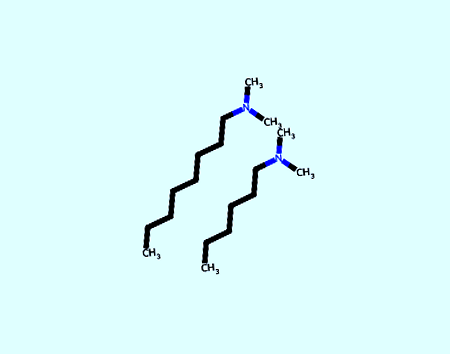 CCCCCCCCN(C)C.CCCCCCN(C)C